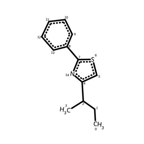 CCC(C)c1csc(-c2ccccc2)n1